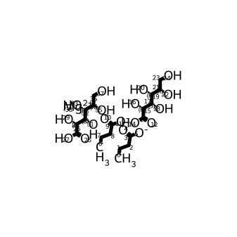 CCCC(=O)[O-].CCCC(=O)[O-].O=C(O)[C@H](O)[C@@H](O)[C@H](O)[C@H](O)CO.O=C(O)[C@H](O)[C@@H](O)[C@H](O)[C@H](O)CO.[Mg+2]